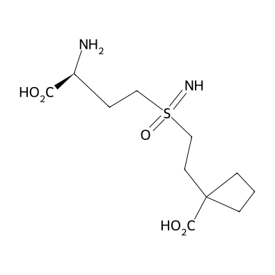 N=S(=O)(CC[C@H](N)C(=O)O)CCC1(C(=O)O)CCC1